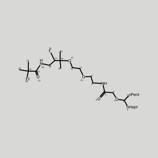 CCCCCCCC(CCCCC)OCC(=O)NCCOCCOC(C)(C)C(F)CNC(=O)C(C)(C)CC